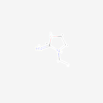 CCN1CCOC1=N